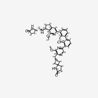 COc1nc(-c2cccc(-c3cccc(-c4cc5c(c(OC)n4)[C@@H](NC[C@@H]4CCC(=O)N4)CC5)c3C)c2Cl)cnc1CN1CC2(CCC(=O)N2)C1